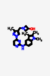 Cc1nn(-c2ccnc(Nc3ccc4c(c3)c(C)c(C)n4C)n2)cc1CN1CC(O)C1